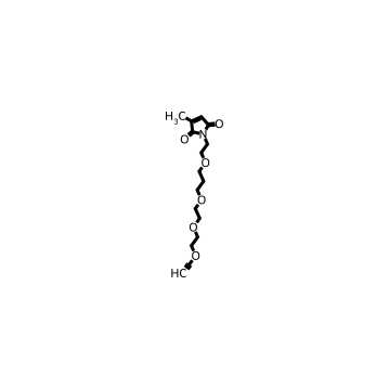 C#COCCOCCOCCCOCCN1C(=O)C=C(C)C1=O